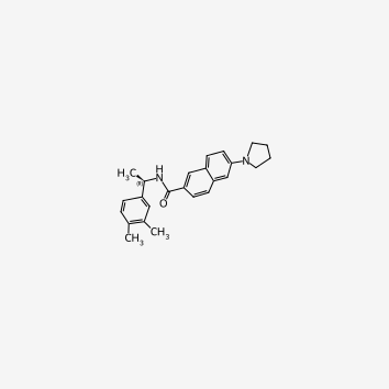 Cc1ccc([C@@H](C)NC(=O)c2ccc3cc(N4CCCC4)ccc3c2)cc1C